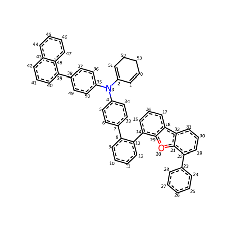 C1=CC(N(c2ccc(-c3ccccc3-c3cccc4c3oc3c(-c5ccccc5)cccc34)cc2)c2ccc(-c3cccc4ccccc34)cc2)=CCC1